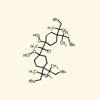 CCC(C)(C1(OO)CCC(C(C)(C)CC(C)(C)C)(C(C)(C)CC(C)(C)C)CC1)C1(OO)CCC(C(C)(C)CC(C)(C)C)(C(C)(C)CC(C)(C)C)CC1